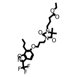 CCCc1c(OCCCN2C(=O)N(CCCC(=O)OCC)C(C)(C)C2=O)ccc2c(C(F)(F)F)noc12